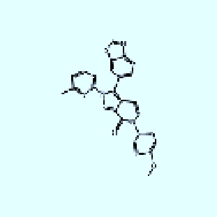 COc1ccc(-n2ccc3c(-c4ccc5ncsc5c4)n(-c4cccc(C)n4)nc3c2=O)cc1